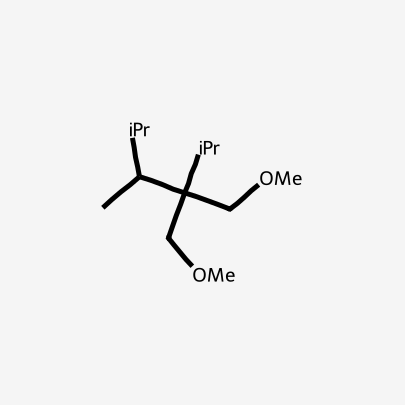 COCC(COC)(C(C)C)C(C)C(C)C